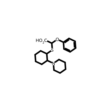 O=C(O)C(Oc1ccccc1)SC1CCCCC1N1CCCCC1